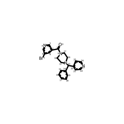 O=C(c1cncc(Br)c1)N1CCN(C(c2ccccc2)c2ccncc2)CC1